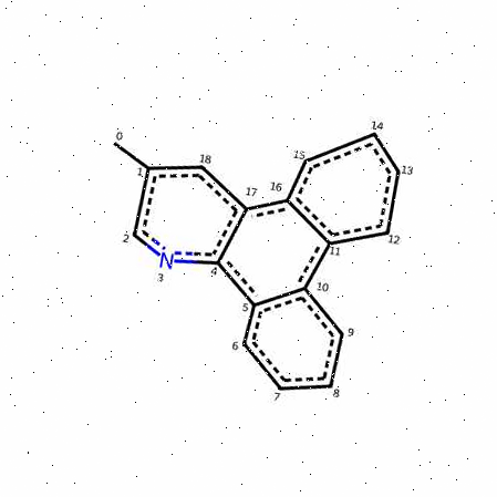 Cc1cnc2c3ccccc3c3ccccc3c2c1